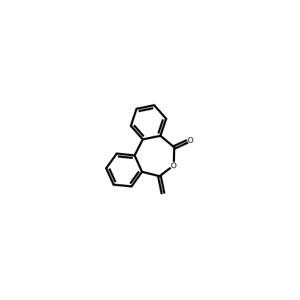 C=C1OC(=O)c2ccccc2-c2ccccc21